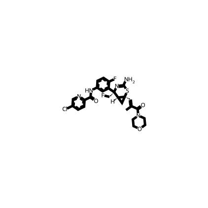 C/C(=C\[C@]12C[C@H]1[C@@](CF)(c1cc(NC(=O)c3ccc(Cl)cn3)ccc1F)N=C(N)S2)C(=O)N1CCOCC1